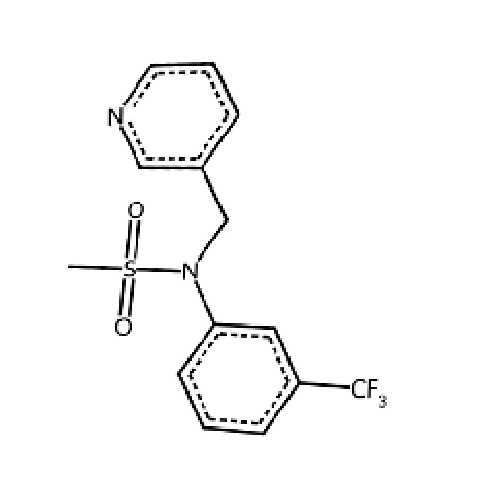 CS(=O)(=O)N(Cc1cccnc1)c1cccc(C(F)(F)F)c1